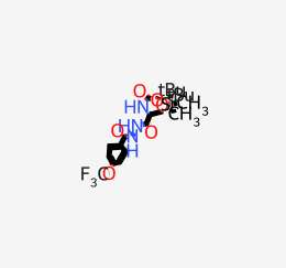 CC(C)(C)OC(=O)NC(CO[Si](C)(C)C(C)(C)C)C(=O)NNC(=O)c1ccc(OC(F)(F)F)cc1